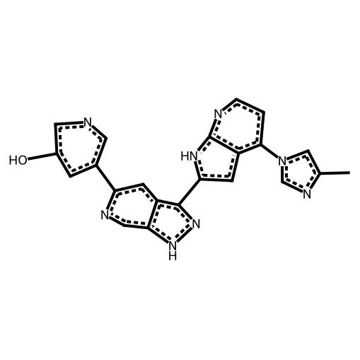 Cc1cn(-c2ccnc3[nH]c(-c4n[nH]c5cnc(-c6cncc(O)c6)cc45)cc23)cn1